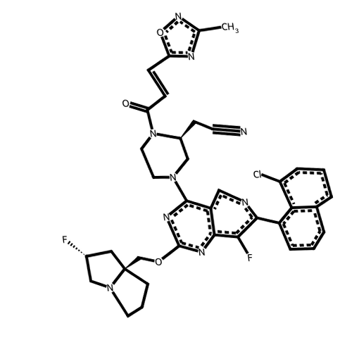 Cc1noc(/C=C/C(=O)N2CCN(c3nc(OC[C@@]45CCCN4C[C@H](F)C5)nc4c(F)c(-c5cccc6cccc(Cl)c56)ncc34)C[C@@H]2CC#N)n1